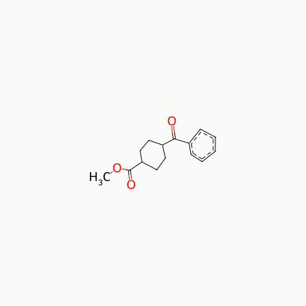 COC(=O)C1CCC(C(=O)c2ccccc2)CC1